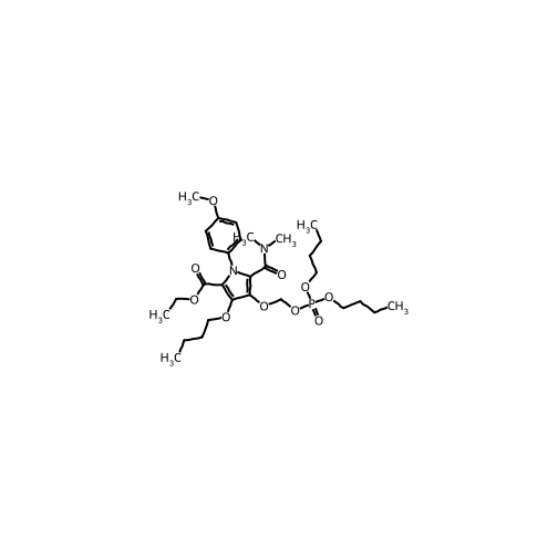 CCCCOc1c(OCOP(=O)(OCCCC)OCCCC)c(C(=O)N(C)C)n(-c2ccc(OC)cc2)c1C(=O)OCC